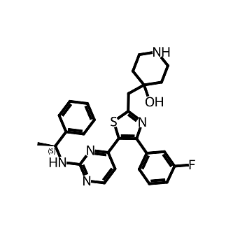 C[C@H](Nc1nccc(-c2sc(CC3(O)CCNCC3)nc2-c2cccc(F)c2)n1)c1ccccc1